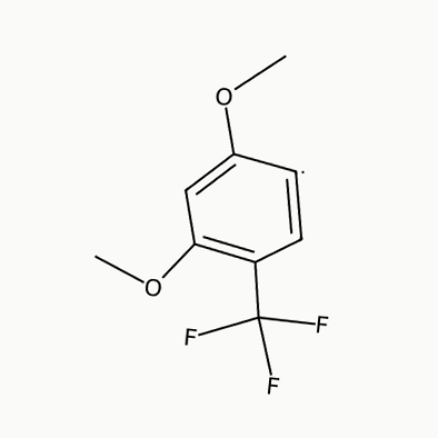 COc1[c]cc(C(F)(F)F)c(OC)c1